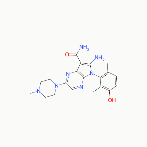 Cc1ccc(O)c(C)c1-n1c(N)c(C(N)=O)c2nc(N3CCN(C)CC3)cnc21